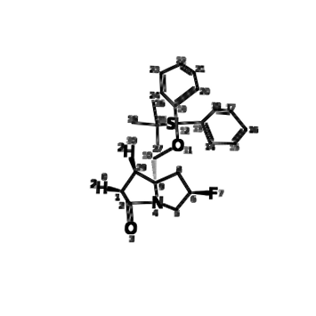 [2H][C@@H]1C(=O)N2C[C@H](F)C[C@]2(CO[Si](c2ccccc2)(c2ccccc2)C(C)(C)C)[C@@H]1[2H]